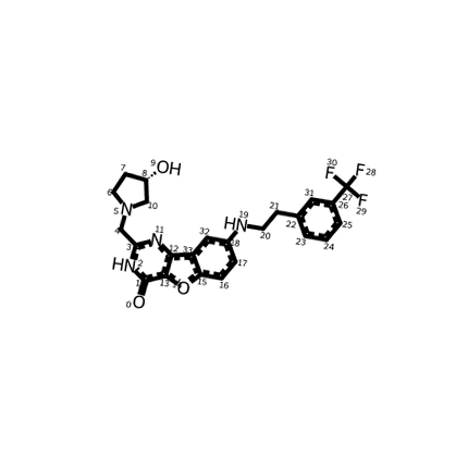 O=c1[nH]c(CN2CC[C@H](O)C2)nc2c1oc1ccc(NCCc3cccc(C(F)(F)F)c3)cc12